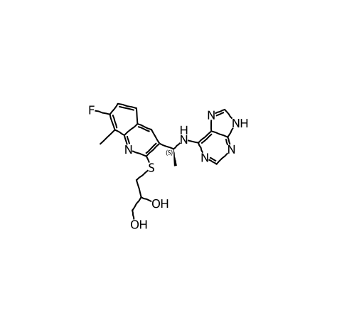 Cc1c(F)ccc2cc([C@H](C)Nc3ncnc4[nH]cnc34)c(SCC(O)CO)nc12